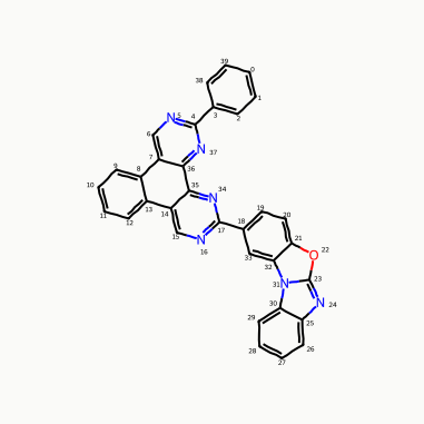 c1ccc(-c2ncc3c4ccccc4c4cnc(-c5ccc6oc7nc8ccccc8n7c6c5)nc4c3n2)cc1